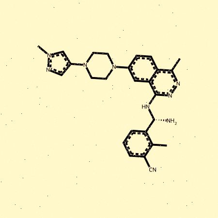 Cc1c(C#N)cccc1[C@@H](N)Nc1nnc(C)c2ccc(N3CCN(c4cnn(C)c4)CC3)cc12